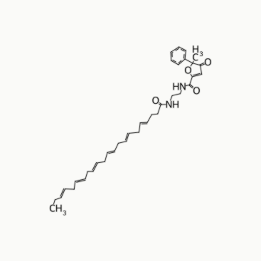 CCC=CCC=CCC=CCC=CCC=CCC=CCCC(=O)NCCNC(=O)C1=CC(=O)C(C)(c2ccccc2)O1